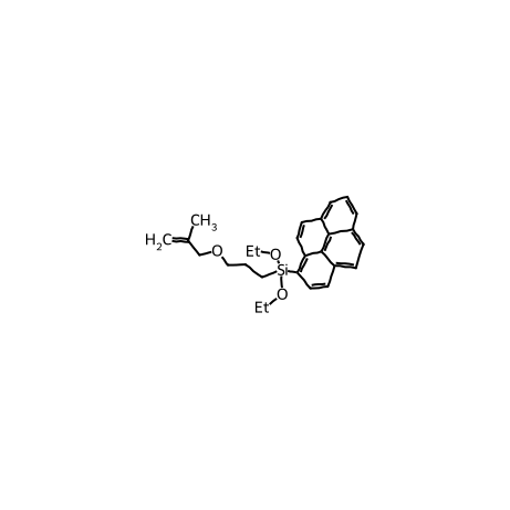 C=C(C)COCCC[Si](OCC)(OCC)c1ccc2ccc3cccc4ccc1c2c34